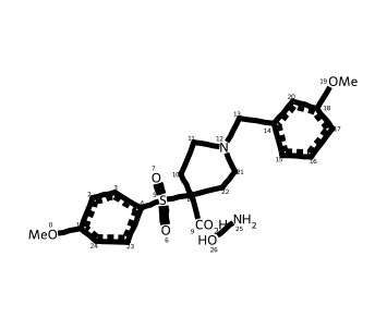 COc1ccc(S(=O)(=O)C2(C(=O)O)CCN(Cc3cccc(OC)c3)CC2)cc1.NO